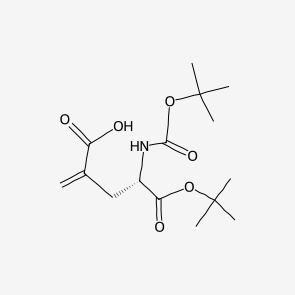 C=C(C[C@H](NC(=O)OC(C)(C)C)C(=O)OC(C)(C)C)C(=O)O